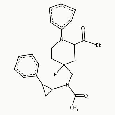 CCC(=O)C1CC(F)(CN(C(=O)C(F)(F)F)C2CC2c2ccccc2)CCN1c1ccccc1